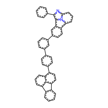 c1ccc(-c2nc3cccc4c5ccc(-c6cccc(-c7ccc(-c8ccc9c%10c(cccc8%10)-c8ccccc8-9)cc7)c6)cc5c2n34)cc1